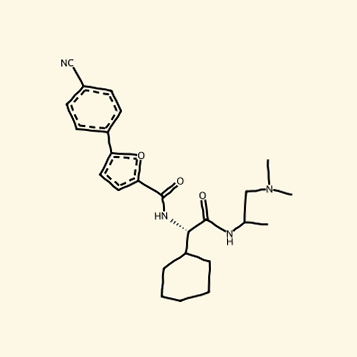 CC(CN(C)C)NC(=O)[C@@H](NC(=O)c1ccc(-c2ccc(C#N)cc2)o1)C1CCCCC1